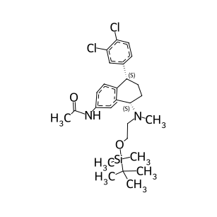 CC(=O)Nc1ccc2c(c1)[C@@H](N(C)CCO[Si](C)(C)C(C)(C)C)CC[C@H]2c1ccc(Cl)c(Cl)c1